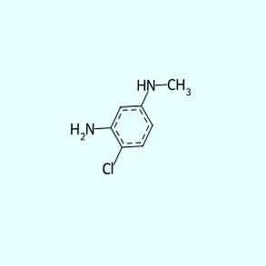 CNc1ccc(Cl)c(N)c1